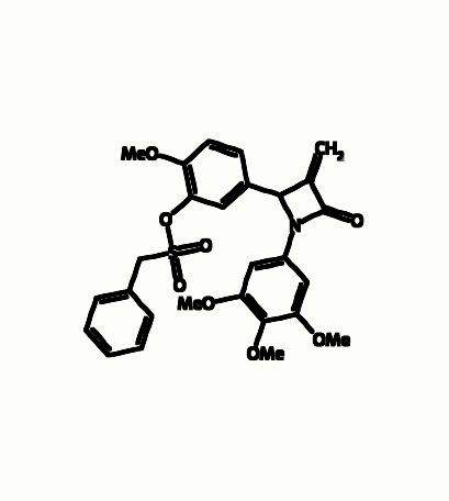 C=C1C(=O)N(c2cc(OC)c(OC)c(OC)c2)C1c1ccc(OC)c(OS(=O)(=O)Cc2ccccc2)c1